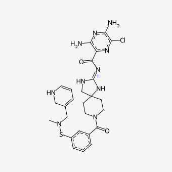 CN(CC1=CC=CNC1)Sc1cccc(C(=O)N2CCC3(CC2)CN/C(=N\C(=O)c2nc(Cl)c(N)nc2N)N3)c1